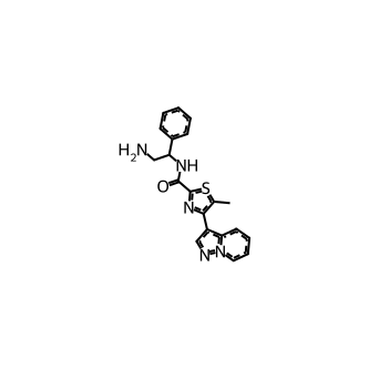 Cc1sc(C(=O)NC(CN)c2ccccc2)nc1-c1cnn2ccccc12